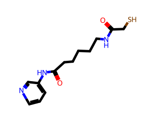 O=C(CS)NCCCCCC(=O)Nc1cccnc1